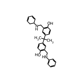 CC(C)(c1ccc(O)c(CNc2ccccc2)c1)c1ccc(O)c(CNC2C=CC=CC2)c1